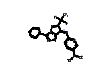 CCN(CC)c1ccc(/N=C2/C(C(F)(F)C(F)(F)F)=Nn3c2nnc3-c2cccnc2)nc1